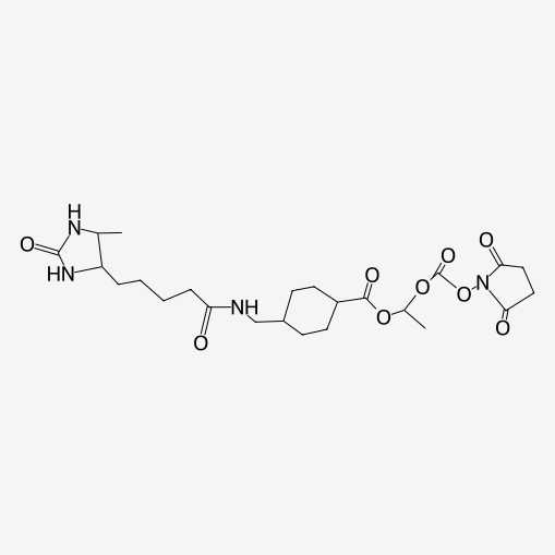 CC(OC(=O)ON1C(=O)CCC1=O)OC(=O)C1CCC(CNC(=O)CCCCC2NC(=O)NC2C)CC1